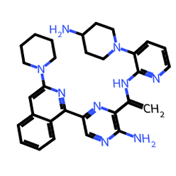 C=C(Nc1ncccc1N1CCC(N)CC1)c1nc(-c2nc(N3CCCCC3)cc3ccccc23)cnc1N